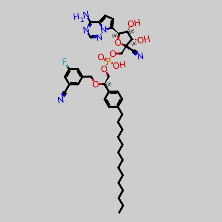 CCCCCCCCCCCCCCc1ccc([C@H](COP(=O)(O)OC[C@@]2(C#N)O[C@@H](c3ccc4c(N)ncnn34)[C@H](O)[C@@H]2O)OCc2cc(F)cc(C#N)c2)cc1